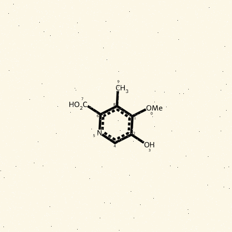 COc1c(O)cnc(C(=O)O)c1C